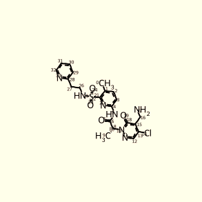 Cc1ccc(NC(=O)[C@@H](C)n2ncc(Cl)c(CN)c2=O)nc1S(=O)(=O)NCCc1ccccn1